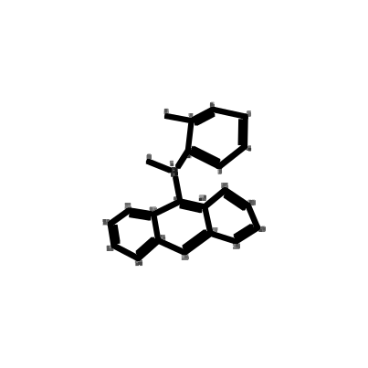 CB(c1ccccc1C)c1c2ccccc2cc2ccccc12